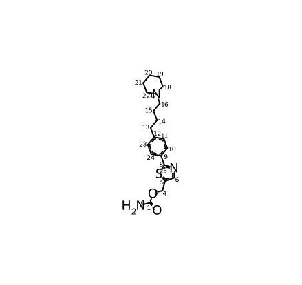 NC(=O)OCc1cnc(-c2ccc(CCCCN3CCCCC3)cc2)s1